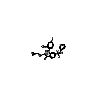 O=C(NOCC1CC1)c1ccc(S(=O)(=O)Nc2cccnc2)cc1Nc1ccc(I)cc1Cl